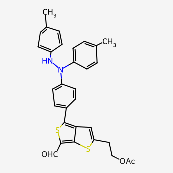 CC(=O)OCCc1cc2c(-c3ccc(N(Nc4ccc(C)cc4)c4ccc(C)cc4)cc3)sc(C=O)c2s1